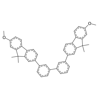 COc1ccc2c(c1)C(C)(C)c1cc(-c3cccc(-c4cccc(-c5ccc6c(c5)C(C)(C)c5cc(OC)ccc5-6)c4)c3)ccc1-2